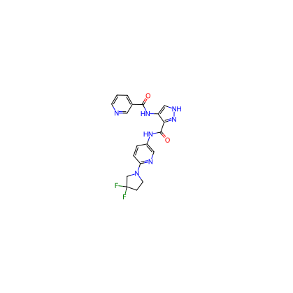 O=C(Nc1c[nH]nc1C(=O)Nc1ccc(N2CCC(F)(F)C2)nc1)c1cccnc1